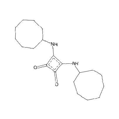 O=c1c(NC2CCCCCCC2)c(NC2CCCCCCC2)c1=O